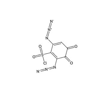 [N-]=[N+]=NC1=CC(=O)C(=O)C(N=[N+]=[N-])=C1S(=O)(=O)Cl